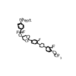 CCCCCc1ccc(C(F)(F)OC2COC(c3ccc(C4CCC(c5ccc(OC(F)(F)F)c(F)c5)CC4)c(F)c3)OC2)cc1